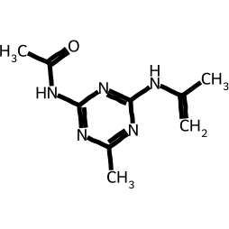 C=C(C)Nc1nc(C)nc(NC(C)=O)n1